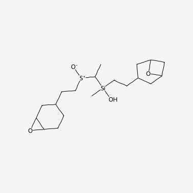 CC([S+]([O-])CCC1CCC2OC2C1)[Si](C)(O)CCC1CC2CC(C1)O2